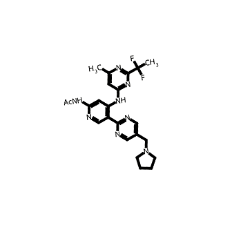 CC(=O)Nc1cc(Nc2cc(C)nc(C(C)(F)F)n2)c(-c2ncc(CN3CCCC3)cn2)cn1